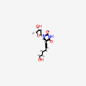 C[C@H]1O[C@@H](n2cc(C#CCCCCO)c(=O)[nH]c2=O)C[C@H]1O